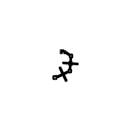 CC(C)O[Si](C)(C)OC(C)(C)Cl